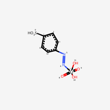 O=S(=O)(O)c1ccc(N=[N][Cr](=[O])(=[O])([OH])[OH])cc1